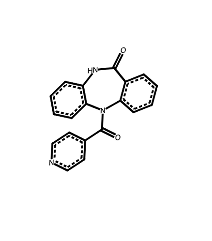 O=C1Nc2ccccc2N(C(=O)c2ccncc2)c2ccccc21